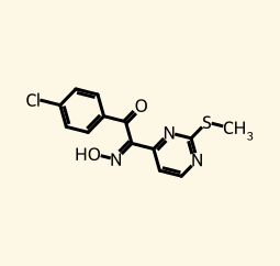 CSc1nccc(C(=NO)C(=O)c2ccc(Cl)cc2)n1